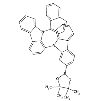 CC1(C)OB(c2ccc3c4ccccc4n(-c4cccc5c6ccccc6n(-c6cccc7ccccc67)c45)c3c2)OC1(C)C